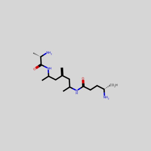 C=C(CC(C)NC(=O)CC[C@@H](N)C(=O)O)CC(C)NC(=O)[C@H](C)N